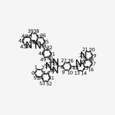 c1ccc2c(-c3nc(-c4ccc(-c5ccc6ccc7cccnc7c6n5)cc4)nc(-c4ccc(-c5ccc6ccc7cccnc7c6n5)cc4)n3)cccc2c1